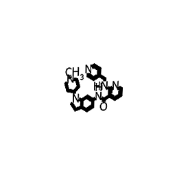 CN1CCC(N2CCC3C=CC(NC(=O)c4cccnc4NCc4ccncc4)=CC32)CC1